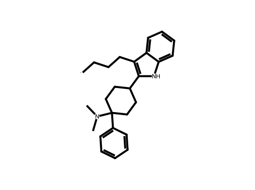 [CH2]CCCc1c(C2CCC(c3ccccc3)(N(C)C)CC2)[nH]c2ccccc12